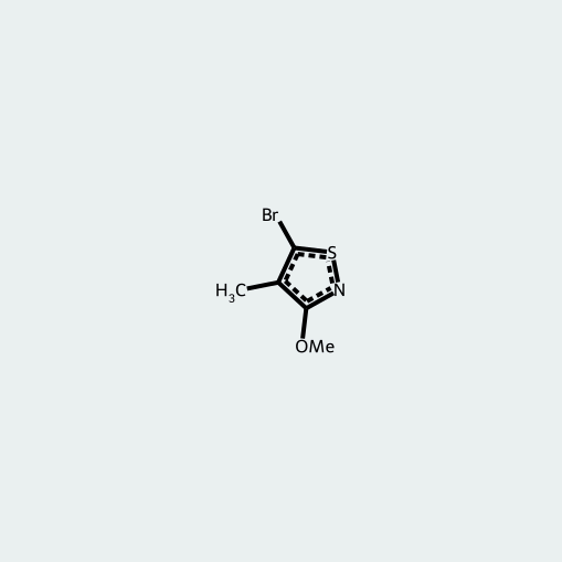 COc1nsc(Br)c1C